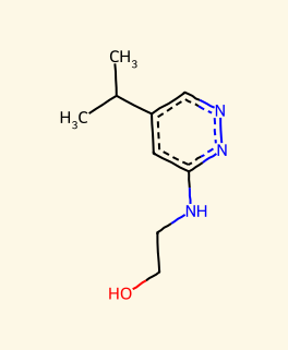 CC(C)c1cnnc(NCCO)c1